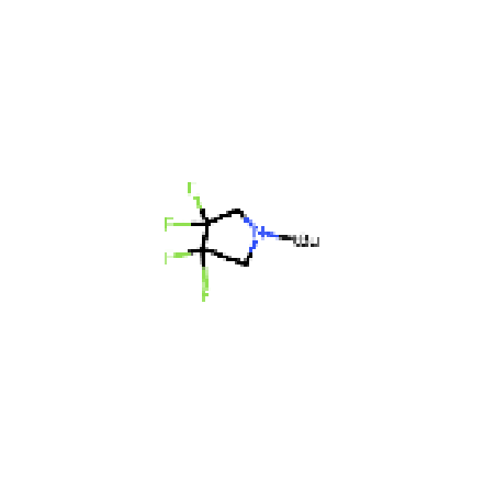 CC(C)(C)N1CC(F)(F)C(F)(F)C1